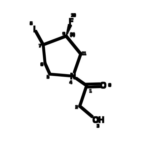 O=C(CO)N1CCC(I)[C@H](F)C1